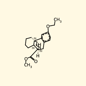 CCOc1ccc2c(c1)[C@]13CCCC[C@@H]1[C@H](C2)N(C(=O)OC)CC3